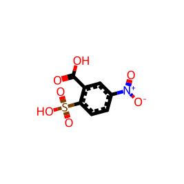 O=C(O)c1cc([N+](=O)[O-])ccc1S(=O)(=O)O